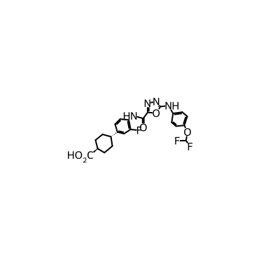 O=C(Nc1ccc([C@H]2CC[C@H](C(=O)O)CC2)cc1F)c1nnc(Nc2ccc(OC(F)F)cc2)o1